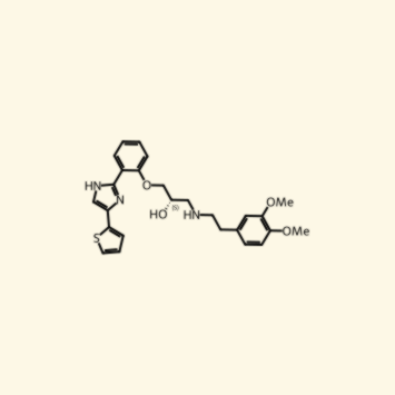 COc1ccc(CCNC[C@H](O)COc2ccccc2-c2nc(-c3cccs3)c[nH]2)cc1OC